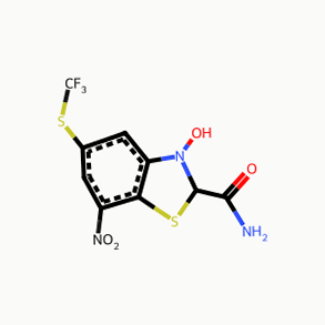 NC(=O)C1Sc2c(cc(SC(F)(F)F)cc2[N+](=O)[O-])N1O